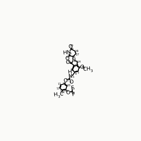 COc1cc(CNC(=O)Oc2ccc(C)c(OC(F)F)c2)cc2c1CN(C1CCC(=O)NC1=O)C2=O